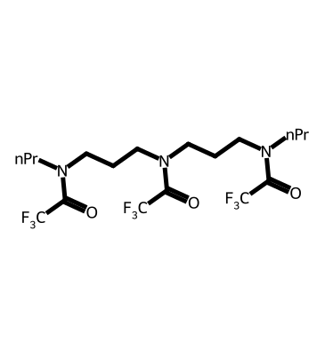 CCCN(CCCN(CCCN(CCC)C(=O)C(F)(F)F)C(=O)C(F)(F)F)C(=O)C(F)(F)F